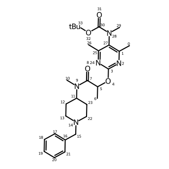 Cc1nc(OC(C)C(=O)N(C)C2CCN(Cc3ccccc3)CC2)nc(C)c1N(C)C(=O)OC(C)(C)C